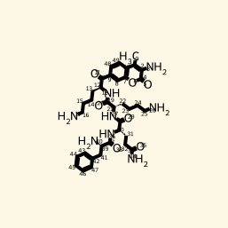 Cc1c(N)c(=O)oc2cc(C(=O)[C@H](CCCCN)NC(=O)[C@H](CCCCN)NC(=O)[C@H](CCC(N)=O)NC(=O)[C@@H](N)Cc3ccccc3)ccc12